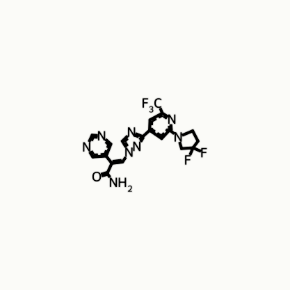 NC(=O)/C(=C/n1cnc(-c2cc(N3CCC(F)(F)C3)nc(C(F)(F)F)c2)n1)c1cncnc1